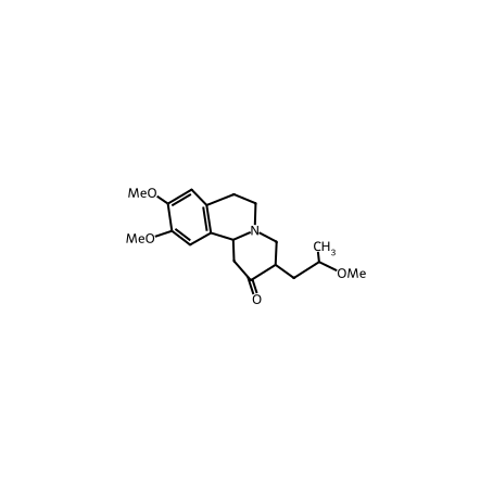 COc1cc2c(cc1OC)C1CC(=O)C(CC(C)OC)CN1CC2